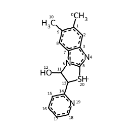 Cc1cc2nc3n(c2cc1C)C(O)C(c1ccccn1)[SH]3